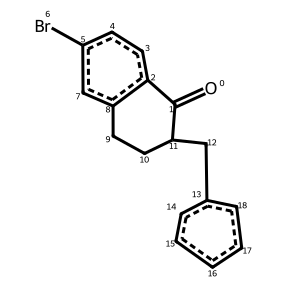 O=C1c2ccc(Br)cc2CCC1Cc1ccccc1